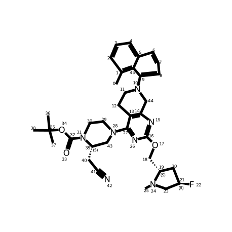 Cc1cccc2cccc(N3CCc4c(nc(OC[C@@H]5C[C@@H](F)CN5C)nc4N4CCN(C(=O)OC(C)(C)C)[C@@H](CC#N)C4)C3)c12